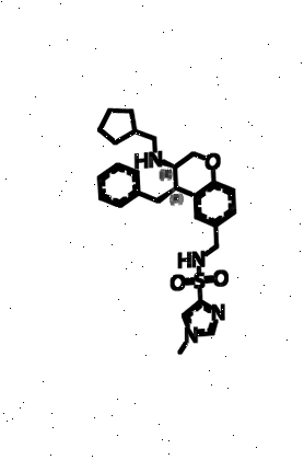 Cn1cnc(S(=O)(=O)NCc2ccc3c(c2)[C@@H](Cc2ccccc2)[C@@H](NCC2CCCC2)CO3)c1